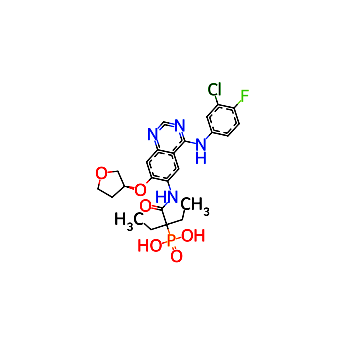 CCC(CC)(C(=O)Nc1cc2c(Nc3ccc(F)c(Cl)c3)ncnc2cc1O[C@H]1CCOC1)P(=O)(O)O